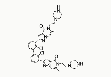 Cc1cn2nc(-c3cccc(-c4cccc(-c5cc6c(=O)n(CCN7CCNCC7)c(C)cn6n5)c4Cl)c3Cl)cc2c(=O)n1CCN1CCNCC1